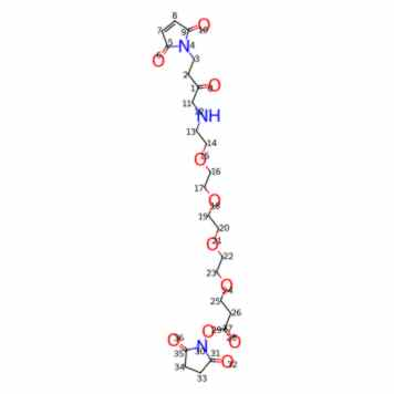 O=C(CCN1C(=O)C=CC1=O)CNCCOCCOCCOCCOCCC(=O)ON1C(=O)CCC1=O